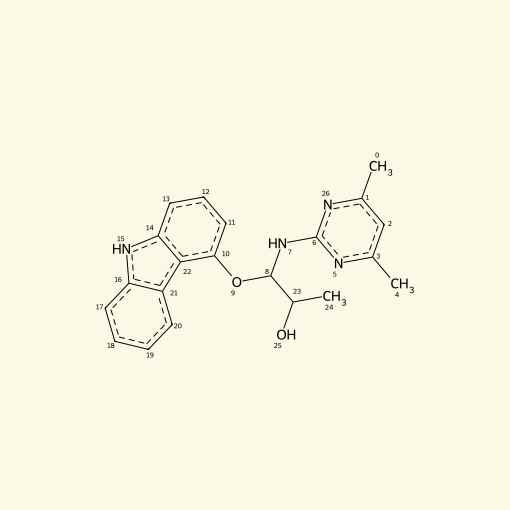 Cc1cc(C)nc(NC(Oc2cccc3[nH]c4ccccc4c23)C(C)O)n1